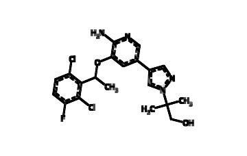 CC(Oc1cc(-c2cnn(C(C)(C)CO)c2)cnc1N)c1c(Cl)ccc(F)c1Cl